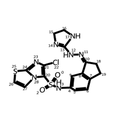 O=S(=O)(Nc1ccc2c(c1)/C(=N\NC1=NCCN1)CC2)c1c(Cl)nc2sccn12